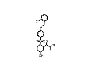 O=C(NO)C1CC(O)CCN1S(=O)(=O)c1ccc(OCc2ccccc2Cl)cc1